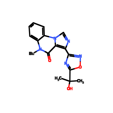 CCC(C)n1c(=O)c2c(-c3noc(C(C)(C)O)n3)ncn2c2ccccc21